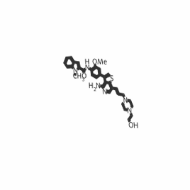 COc1cc(-c2csc3c(C=CCN4CCN(CCO)CC4)cnc(N)c23)ccc1NC(=O)c1cc2ccccc2n1C